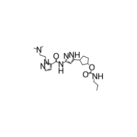 CCCNC(=O)OC1CCC(c2cc(NC(=O)c3ccnn3CCN(C)C)n[nH]2)C1